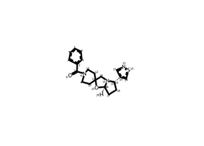 O=C(c1ccccc1)N1CCC2(CC1)CN1[C@@H](CC[C@H]1c1cnsc1)O2